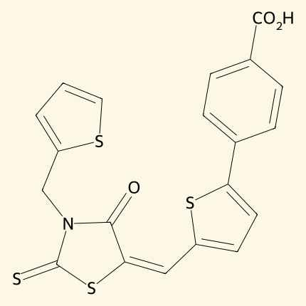 O=C(O)c1ccc(-c2ccc(C=C3SC(=S)N(Cc4cccs4)C3=O)s2)cc1